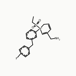 CCS(=O)(=O)[N+]1(c2cccc(Cc3ccc(F)cc3)c2)C=C(CN)C=CC1